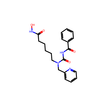 O=C(CCCCCN(Cc1ccccn1)C(=O)NC(=O)c1ccccc1)NO